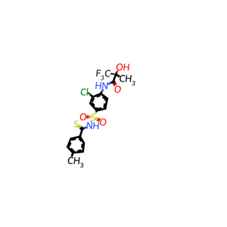 Cc1ccc(C(=S)NS(=O)(=O)c2ccc(NC(=O)[C@@](C)(O)C(F)(F)F)c(Cl)c2)cc1